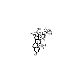 CCCC(C)(C)NC(=O)O[C@@]1(C(=O)CO)[C@@H](C)CC2C3CCC4=CC(=O)C=C[C@]4(C)C3(F)[C@@H](O)C[C@@]21C